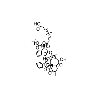 CC(=O)O[C@]12CO[C@H]1CC[C@]1(C)C(=O)[C@@H](O)C3=C(C)[C@H](OC(=O)[C@@H](OC(=O)CCSC(C)(C)SCCC(=O)O)C(NC(=O)OC(C)(C)C)c4ccccc4)C[C@](O)([C@H](OC(=O)c4ccccc4)[C@@H]21)C3(C)C